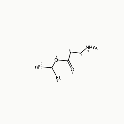 CCCC(CC)OC(=O)CCNC(C)=O